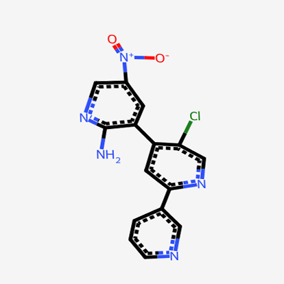 Nc1ncc([N+](=O)[O-])cc1-c1cc(-c2cccnc2)ncc1Cl